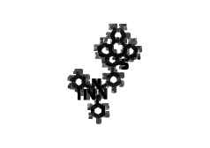 c1ccc(C2=NC(c3cccc(-c4cc5cccc6c5c5c4sc4cccc(c45)-c4ccccc4-6)c3)=NC(c3ccccc3)N2)cc1